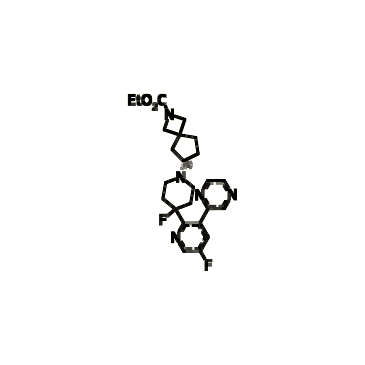 CCOC(=O)N1CC2(CC[C@H](N3CCC(F)(c4ncc(F)cc4-c4cnccn4)CC3)C2)C1